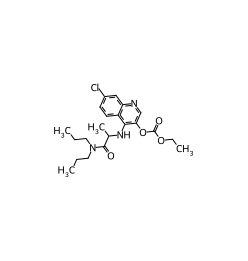 CCCN(CCC)C(=O)C(C)Nc1c(OC(=O)OCC)cnc2cc(Cl)ccc12